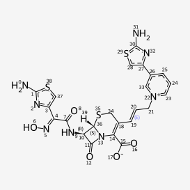 Nc1nc(C(=NO)C(=O)N[C@@H]2C(=O)N3C(C(=O)[O-])=C(/C=C/C[n+]4cccc(-c5csc(N)n5)c4)CS[C@@H]23)cs1